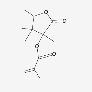 C=C(C)C(=O)OC1(C)C(=O)OC(C)C1(C)C